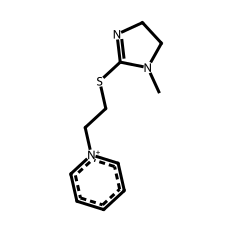 CN1CCN=C1SCC[n+]1ccccc1